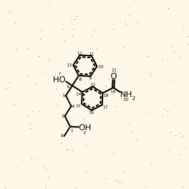 CC(O)CCCC(O)(c1ccccc1)c1cccc(C(N)=O)c1